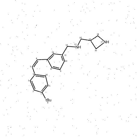 CC(C)(C)c1ccc(/C=C\c2cccc(CNCC3CNC3)c2)cc1